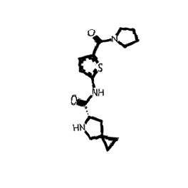 O=C(Nc1ccc(C(=O)N2CCCC2)s1)[C@@H]1CC2(CC2)CN1